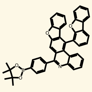 CC1(C)OB(c2ccc(-c3nc4ccccc4c4c(-c5cccc6c5oc5ccccc56)c5c(cc34)oc3ccccc35)cc2)OC1(C)C